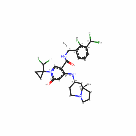 C[C@@H](NC(=O)c1cn(C2(C(F)F)CC2)c(=O)cc1N[C@@H]1CCN2CCC[C@H]2C1)c1cccc(C(F)F)c1F